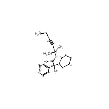 CC(C)(C#CCN)OC(=O)C(O)(c1ccccc1)C1CCCCC1